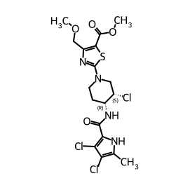 COCc1nc(N2CC[C@@H](NC(=O)c3[nH]c(C)c(Cl)c3Cl)[C@@H](Cl)C2)sc1C(=O)OC